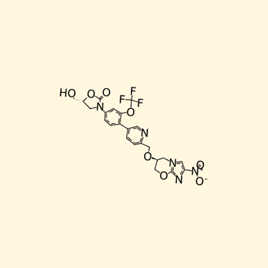 O=C1O[C@@H](CO)CN1c1ccc(-c2ccc(CO[C@@H]3COc4nc([N+](=O)[O-])cn4C3)nc2)c(OC(F)(F)F)c1